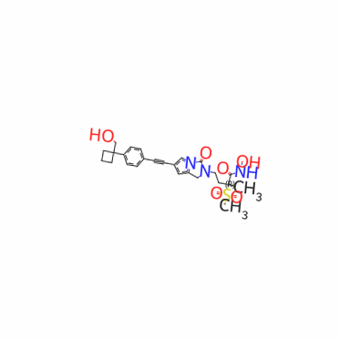 C[C@@](CCN1Cc2cc(C#Cc3ccc(C4(CO)CCC4)cc3)cn2C1=O)(C(=O)NO)S(C)(=O)=O